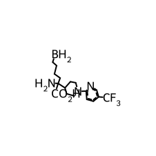 BCCCCC(N)(C(=O)O)C1CCN(c2ccc(C(F)(F)F)cn2)CC1